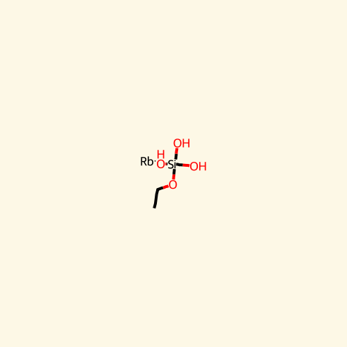 CCO[Si](O)(O)O.[Rb]